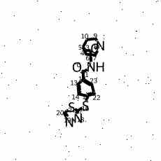 O=C(NC1CC2CCN(CC2)C1)c1ccc(Sc2nncs2)cc1